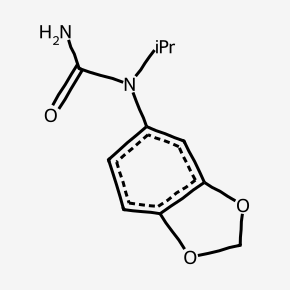 CC(C)N(C(N)=O)c1ccc2c(c1)OCO2